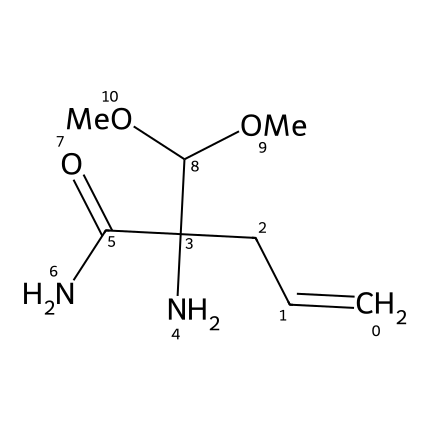 C=CCC(N)(C(N)=O)C(OC)OC